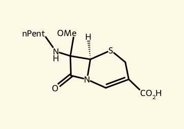 CCCCCNC1(OC)C(=O)N2C=C(C(=O)O)CS[C@@H]21